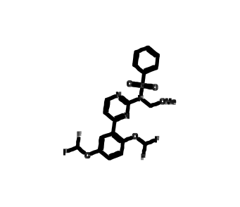 COCN(c1nccc(-c2cc(OC(F)F)ccc2OC(F)F)n1)S(=O)(=O)c1ccccc1